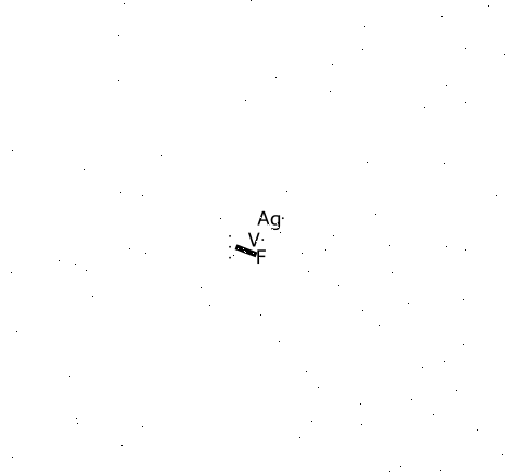 [Ag].[C]F.[V]